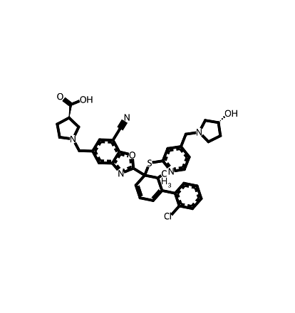 CC1C(c2ccccc2Cl)=CC=CC1(Sc1cc(CN2CC[C@@H](O)C2)ccn1)c1nc2cc(CN3CC[C@@H](C(=O)O)C3)cc(C#N)c2o1